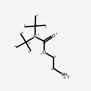 CC(C)(C)N(C(=O)OCCN)C(C)(C)C